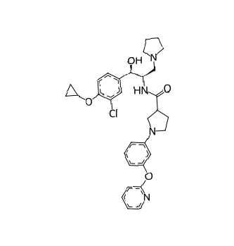 O=C(N[C@H](CN1CCCC1)[C@H](O)c1ccc(OC2CC2)c(Cl)c1)C1CCN(c2cccc(Oc3ccccn3)c2)C1